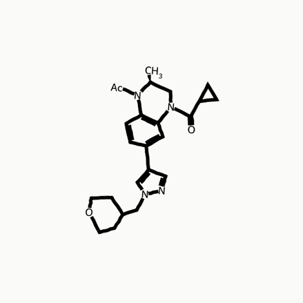 CC(=O)N1c2ccc(-c3cnn(CC4CCOCC4)c3)cc2N(C(=O)C2CC2)C[C@@H]1C